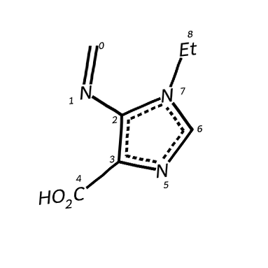 C=Nc1c(C(=O)O)ncn1CC